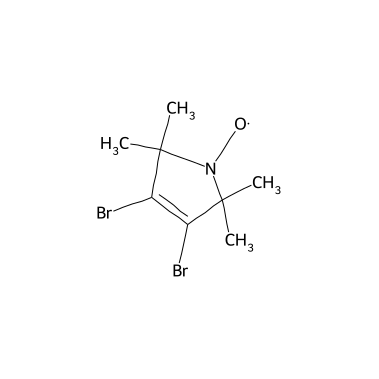 CC1(C)C(Br)=C(Br)C(C)(C)N1[O]